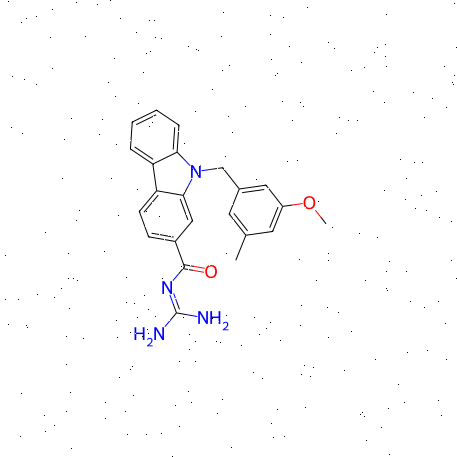 COc1cc(C)cc(Cn2c3ccccc3c3ccc(C(=O)N=C(N)N)cc32)c1